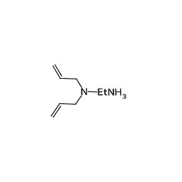 C=CCN(CC)CC=C.N